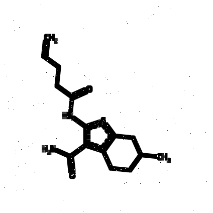 C=CCCC(=O)Nc1sc2c(c1C(N)=O)CCC(C)C2